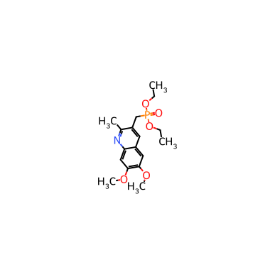 CCOP(=O)(Cc1cc2cc(OC)c(OC)cc2nc1C)OCC